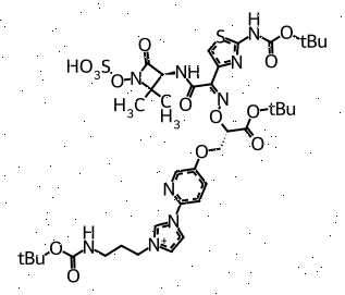 CC(C)(C)OC(=O)NCCC[n+]1ccn(-c2ccc(OC[C@H](O/N=C(\C(=O)N[C@@H]3C(=O)N(OS(=O)(=O)O)C3(C)C)c3csc(NC(=O)OC(C)(C)C)n3)C(=O)OC(C)(C)C)cn2)c1